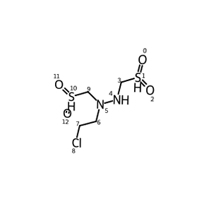 O=[SH](=O)CNN(CCCl)C[SH](=O)=O